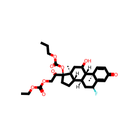 CCCOC(=O)O[C@]1(C(=O)COC(=O)OCC)CC[C@H]2[C@@H]3C[C@H](F)C4=CC(=O)C=C[C@]4(C)[C@H]3C(O)C[C@@]21C